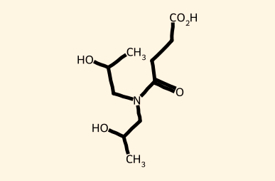 CC(O)CN(CC(C)O)C(=O)CCC(=O)O